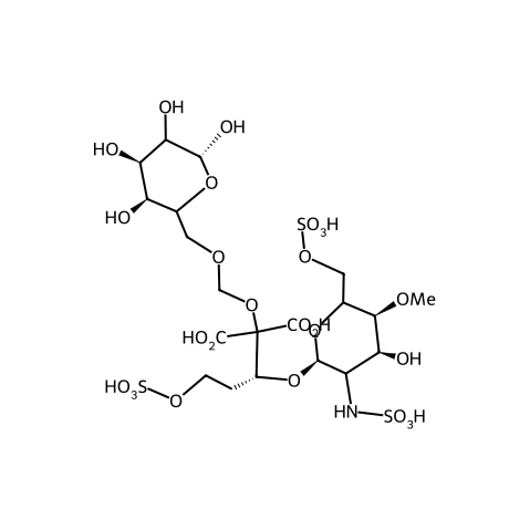 CO[C@@H]1C(COS(=O)(=O)O)O[C@H](O[C@H](CCOS(=O)(=O)O)C(OCOCC2O[C@@H](O)C(O)[C@H](O)[C@@H]2O)(C(=O)O)C(=O)O)C(NS(=O)(=O)O)[C@@H]1O